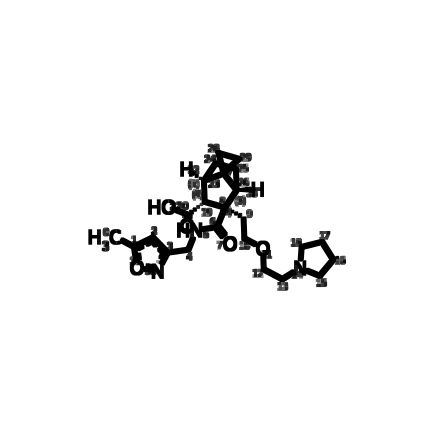 Cc1cc(CNC(=O)[C@@]2(CCOCCN3CCCC3)[C@H](C(=O)O)[C@H]3CC[C@H]2C32CC2)no1